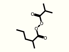 CCCC(C)C(=O)OOC(=O)C(C)C